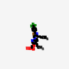 CCCCc1nc(-c2ccc(C(F)(F)F)cc2)sc1Cn1ccc2c(CCC)c(OCC(=O)O)cnc21